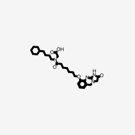 O=C(O)CN(CCCCC1CCCCC1)C(=O)CCCCCCOc1cccc2c1N=C1NC(=O)CN1C2